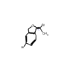 CC/C(C)=C1\OCc2cc(Br)ccc21